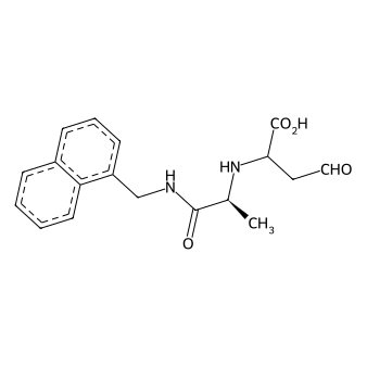 C[C@H](NC(CC=O)C(=O)O)C(=O)NCc1cccc2ccccc12